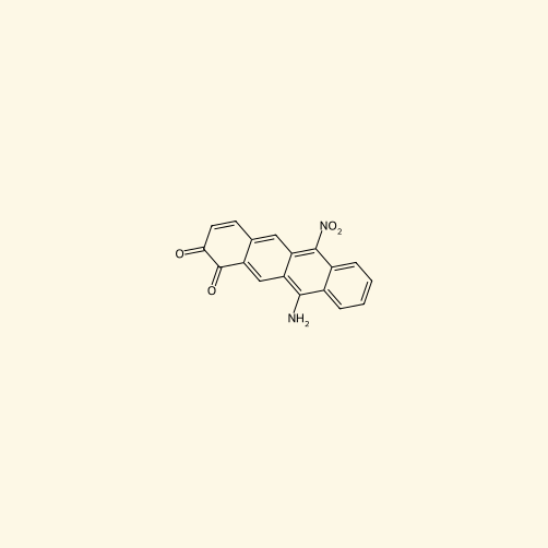 Nc1c2ccccc2c([N+](=O)[O-])c2cc3c(cc12)C(=O)C(=O)C=C3